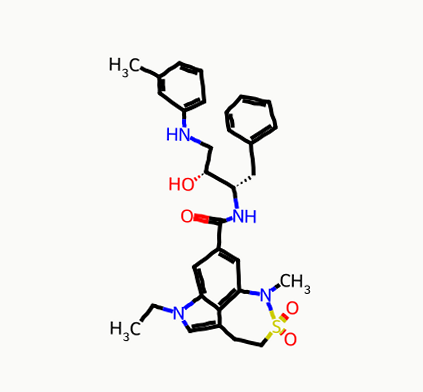 CCn1cc2c3c(cc(C(=O)N[C@@H](Cc4ccccc4)[C@H](O)CNc4cccc(C)c4)cc31)N(C)S(=O)(=O)CC2